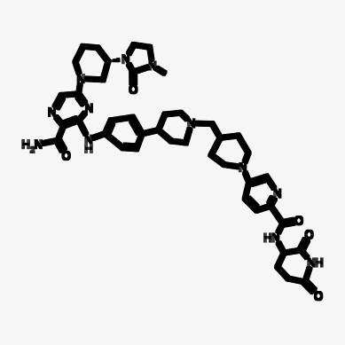 CN1CCN([C@H]2CCCN(c3cnc(C(N)=O)c(Nc4ccc(C5CCN(CC6CCN(c7ccc(C(=O)NC8CCC(=O)NC8=O)nc7)CC6)CC5)cc4)n3)C2)C1=O